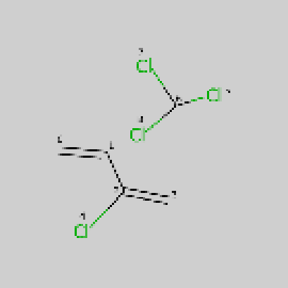 C=CC(=C)Cl.ClC(Cl)Cl